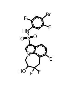 O=S(=O)(Nc1cc(F)c(Br)cc1F)c1cn2c3c(c(Cl)ccc13)CC(F)(F)C(O)C2